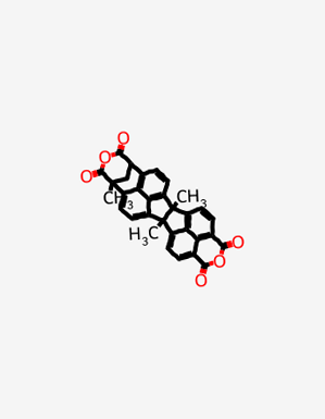 CC12CC(C(=O)OC1=O)c1ccc3c4c(ccc2c14)C1(C)c2ccc4c5c(ccc(c25)C31C)C(=O)OC4=O